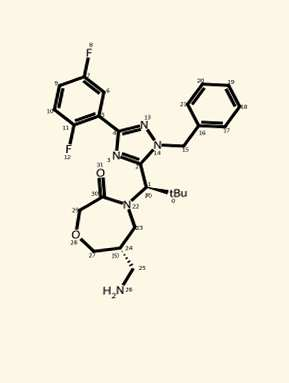 CC(C)(C)[C@H](c1nc(-c2cc(F)ccc2F)nn1Cc1ccccc1)N1C[C@H](CN)COCC1=O